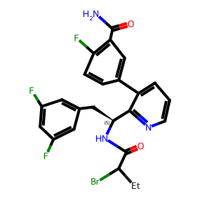 CCC(Br)C(=O)N[C@@H](Cc1cc(F)cc(F)c1)c1ncccc1-c1ccc(F)c(C(N)=O)c1